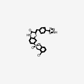 O=C1Nc2ccc(S(=O)(=O)Cc3c(Cl)cccc3Cl)cc2SC1=Cc1ccc(-c2nn[nH]n2)cc1